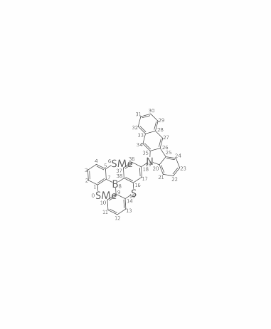 CSc1cccc(SC)c1B1c2ccccc2Sc2cc(-n3c4ccccc4c4cc5ccccc5cc43)ccc21